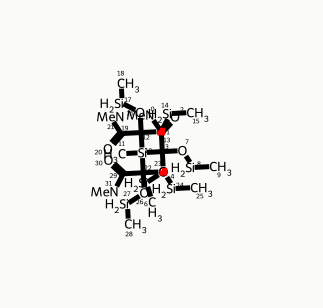 CNC(=O)C(O[SiH2]C)(O[SiH2]C)[Si](C)(C(O[SiH2]C)(O[SiH2]C)C(=O)NC)C(O[SiH2]C)(O[SiH2]C)C(=O)NC